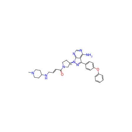 CN1CCC(NCC=CC(=O)N2CC[C@@H](n3nc(-c4ccc(Oc5ccccc5)cc4)c4c(N)ncnc43)C2)CC1